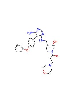 Nc1ncnc(NC[C@@H]2CCN(C(=O)CCN3CCOCC3)C[C@@H]2O)c1-c1ccc(Oc2ccccc2)cc1